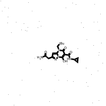 CC(C)(C)Cn1c(=O)c(C(=O)NC2CC2)c(O)n2nc(CC(N)=O)cc12